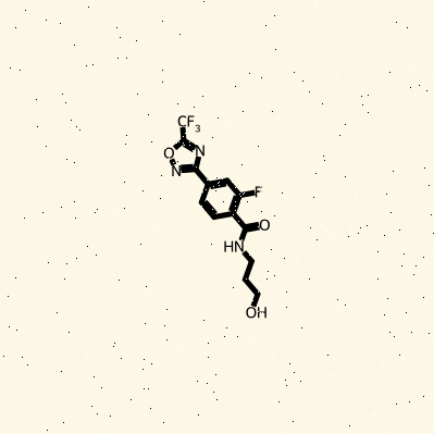 O=C(NCCCO)c1ccc(-c2noc(C(F)(F)F)n2)cc1F